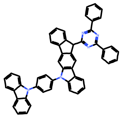 c1ccc(-c2nc(-c3ccccc3)nc(C3c4ccccc4-c4cc5c(cc43)c3ccccc3n5-c3ccc(-n4c5ccccc5c5ccccc54)cc3)n2)cc1